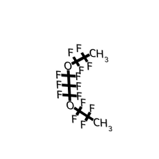 CC(F)(F)C(F)(F)OC(F)(F)C(F)(F)C(F)(F)OC(F)(F)C(C)(F)F